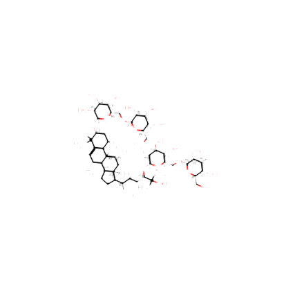 C[C@@H]1[C@@H](O)[C@H](OC[C@H]2O[C@@H](O[C@H](CC[C@@H](C)C3CC[C@@]4(C)C5CC=C6C(CC[C@H](O[C@@H]7O[C@H](CO[C@@H]8O[C@H](CO)[C@@H](O)[C@H](O)[C@H]8O)[C@@H](O)[C@H](O)[C@H]7O)C6(C)C)[C@]5(C)[C@H](O)C[C@]34C)C(C)(C)O)[C@H](O)[C@@H](O)[C@@H]2O)O[C@H](CO)[C@H]1O